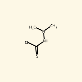 CN(C)NC(=S)Cl